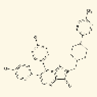 O=c1n(CC2CCN(c3ccc(C(F)(F)F)cn3)CC2)nc2c(-c3ccc(Cl)cc3)c(-c3ccc(Cl)cc3)cnn12